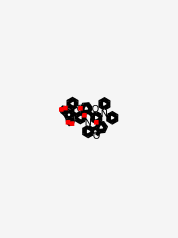 c1ccc(N(c2ccccc2)c2ccc(N(c3ccc4c(c3)Oc3ccccc3C43c4ccccc4-c4ccccc43)c3cccc4oc5ccccc5c34)c3c2oc2ccccc23)cc1